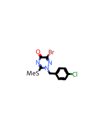 CSc1nc(=O)c(Br)nn1Cc1ccc(Cl)cc1